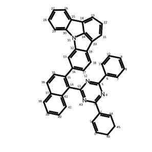 C1=CC(c2nc(-c3ccccc3)nc(-c3c(-c4ccc5c6cccc7c8ccccc8n(c5c4)c76)ccc4ccccc34)n2)=CCC1